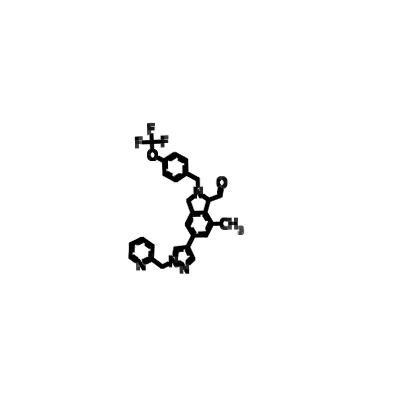 Cc1cc(-c2cnn(Cc3ccccn3)c2)cc2c1C(C=O)N(Cc1ccc(OC(F)(F)F)cc1)C2